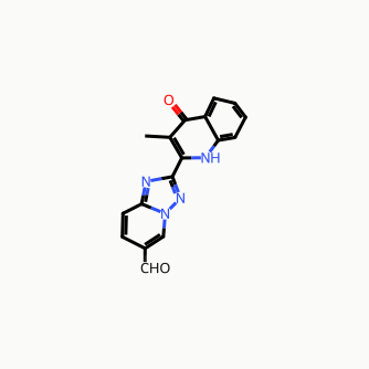 Cc1c(-c2nc3ccc(C=O)cn3n2)[nH]c2ccccc2c1=O